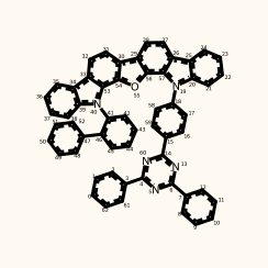 c1ccc(-c2nc(-c3ccccc3)nc(-c3ccc(-n4c5ccccc5c5ccc6c7ccc8c9ccccc9n(-c9ccccc9-c9ccccc9)c8c7oc6c54)cc3)n2)cc1